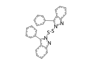 c1ccc(-c2c3ccccc3nn2SSn2nc3ccccc3c2-c2ccccc2)cc1